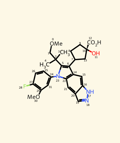 COCC(C)(C)c1c(C2CC[C@@](O)(C(=O)O)C2)c2cc3[nH]ncc3cc2n1-c1ccc(F)c(OC)c1